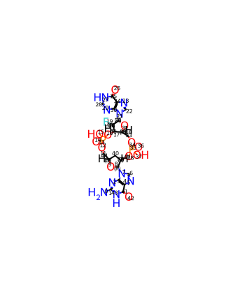 Nc1nc2c(ncn2[C@@H]2O[C@@H]3COP(=O)(O)O[C@H]4[C@@H](F)[C@H](n5cnc6c(=O)[nH]cnc65)O[C@@H]4COP(=O)(O)O[C@@H]2C3)c(=O)[nH]1